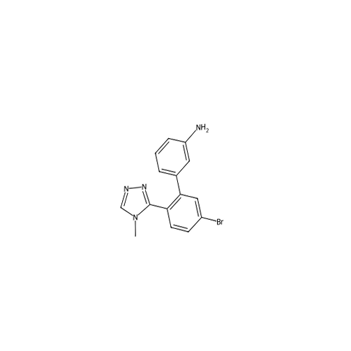 Cn1cnnc1-c1ccc(Br)cc1-c1cccc(N)c1